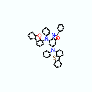 c1ccc(-c2nc3c(N(c4ccccc4)c4cccc5c4oc4ccccc45)cc(N(c4ccccc4)c4cccc5c4sc4ccccc45)cc3o2)cc1